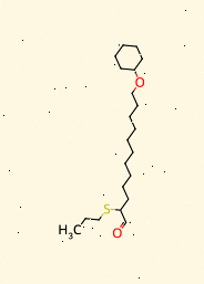 CCCSC([C]=O)CCCCCCCCCCOC1CC[CH]CC1